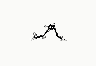 COC(=O)CCCC=C1C[C@@H]2C[C@@H](O)C(C#CC(O)CCCCC(C)O)[C@@H]2C1